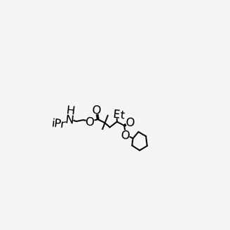 CCC(CC(C)(C)C(=O)OCCNC(C)C)C(=O)OC1CCCCC1